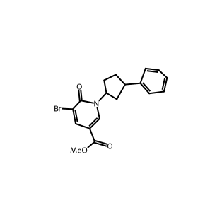 COC(=O)c1cc(Br)c(=O)n(C2CCC(c3ccccc3)C2)c1